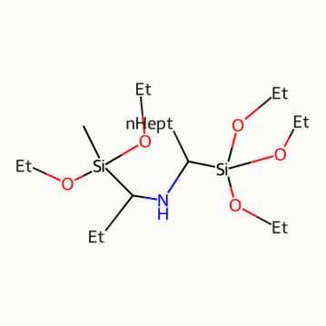 CCCCCCCC(NC(CC)[Si](C)(OCC)OCC)[Si](OCC)(OCC)OCC